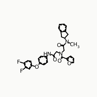 CN(C(=O)CN(CC(=O)Nc1ccc(Oc2ccc(F)c(F)c2)cc1)C(=O)c1ccco1)C1Cc2ccccc2C1